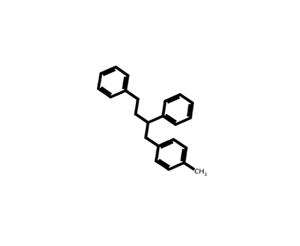 Cc1ccc(CC(CCc2ccccc2)c2ccccc2)cc1